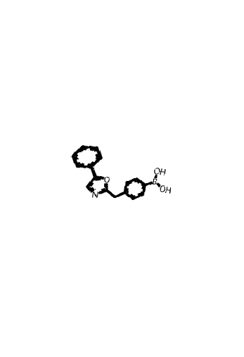 OB(O)c1ccc(Cc2ncc(-c3ccccc3)o2)cc1